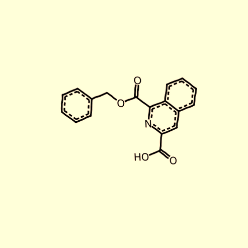 O=C(O)c1cc2ccccc2c(C(=O)OCc2ccccc2)n1